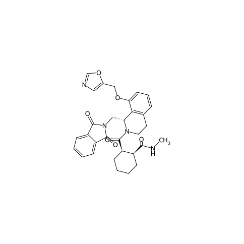 CNC(=O)[C@H]1CCCC[C@H]1C(=O)N1CCc2cccc(OCc3cnco3)c2[C@H]1CN1C(=O)c2ccccc2C1=O